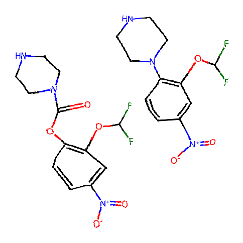 O=C(Oc1ccc([N+](=O)[O-])cc1OC(F)F)N1CCNCC1.O=[N+]([O-])c1ccc(N2CCNCC2)c(OC(F)F)c1